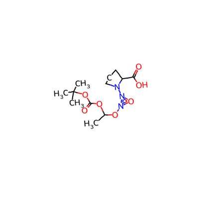 CC(OC(=O)OC(C)(C)C)On1on1N1CCCC1C(=O)O